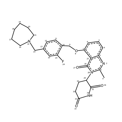 Cc1nc2cccc(OCc3ccc(CN4CCCCCC4)cc3F)c2c(=O)n1C1CCC(=O)NC1=O